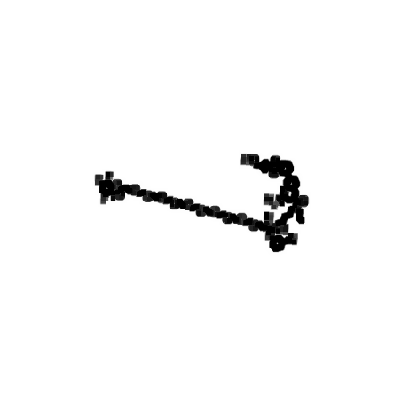 CCCN(CCCCCN/C(=N\c1cccc(C#N)c1)NCCOCCOCCOCCOCCOCCOCCOCCOCCOCCOCCC(=O)Oc1c(F)c(F)cc(F)c1F)C(=O)C1=Cc2ccc(-c3cccc(S(=O)(=O)N4CC(CO)C4)c3)cc2N=C(N)C1